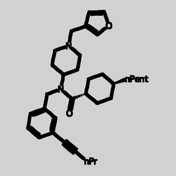 CCCC#Cc1cccc(CN(C(=O)[C@H]2CC[C@H](CCCCC)CC2)C2CCN(Cc3ccoc3)CC2)c1